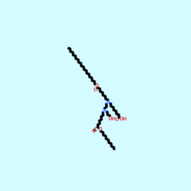 CCCCCCCCCCCCCCCCCCCCCOC(=O)CCCCCCCN(CCCCCCCC(=O)O)CCCN(CCCO)CCCCCCCC(=C=O)OCCCCCCCCCCC